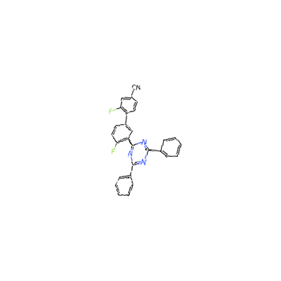 N#Cc1ccc(-c2ccc(F)c(-c3nc(-c4ccccc4)nc(-c4ccccc4)n3)c2)c(F)c1